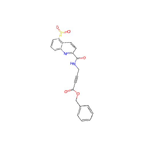 O=C(C#CCNC(=O)c1ccc2c([SH](=O)=O)cccc2n1)OCc1ccccc1